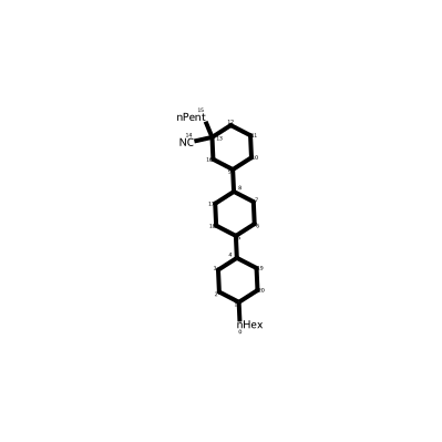 CCCCCCC1CCC(C2CCC(C3CCCC(C#N)(CCCCC)C3)CC2)CC1